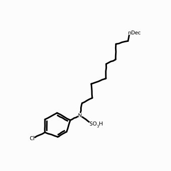 CCCCCCCCCCCCCCCCCCN(c1c[c]c(Cl)cc1)S(=O)(=O)O